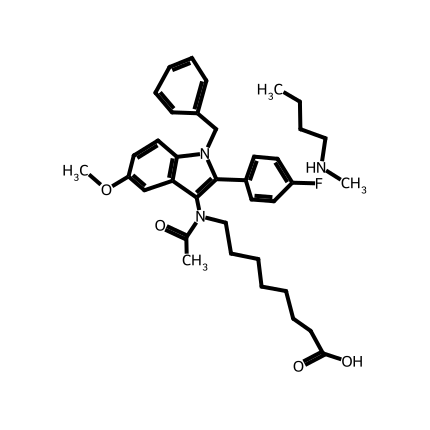 CCCCNC.COc1ccc2c(c1)c(N(CCCCCCCC(=O)O)C(C)=O)c(-c1ccc(F)cc1)n2Cc1ccccc1